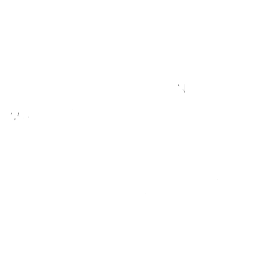 COc1ccc(N2CCOCC2)c(-c2ccccc2C)c1